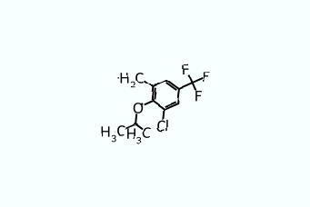 [CH2]c1cc(C(F)(F)F)cc(Cl)c1OC(C)C